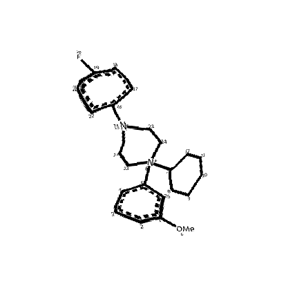 COc1cccc([N+]2(C3CCCCC3)CCN(c3ccc(F)cc3)CC2)c1